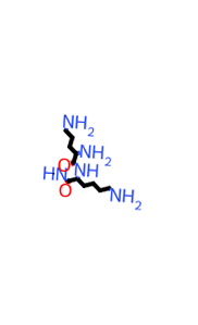 [NH]C(=O)C(CCCCN)NC(=O)C(N)CCCN